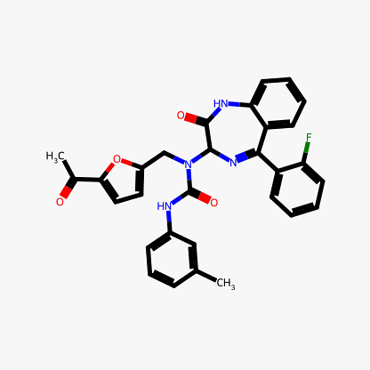 CC(=O)c1ccc(CN(C(=O)Nc2cccc(C)c2)C2N=C(c3ccccc3F)c3ccccc3NC2=O)o1